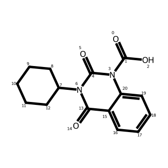 O=C(O)n1c(=O)n(C2CCCCC2)c(=O)c2ccccc21